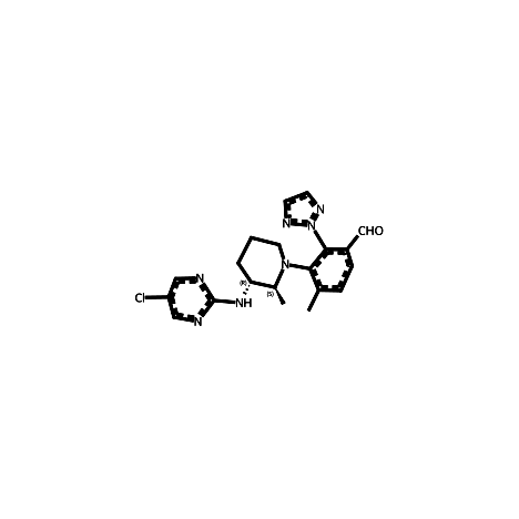 Cc1ccc(C=O)c(-n2nccn2)c1N1CCC[C@@H](Nc2ncc(Cl)cn2)[C@@H]1C